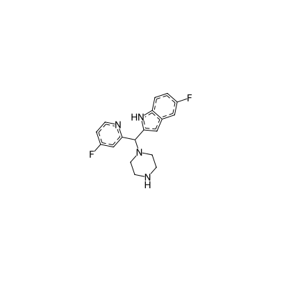 Fc1ccnc(C(c2cc3cc(F)ccc3[nH]2)N2CCNCC2)c1